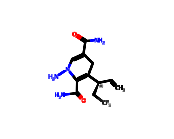 C=C[C@@H](CC(F)(F)F)C1=C(C(N)=O)N(N)C=C(C(N)=O)C1